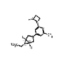 C[C@H]1CCN1c1cc(N2C[C@@H]3[C@@H](CC(=O)O)[C@@H]3C2)cc(C(F)(F)F)n1